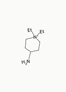 [CH2]C[N+]1(CC)CCC(N)CC1